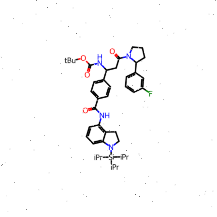 CC(C)[Si](C(C)C)(C(C)C)N1CCc2c(NC(=O)c3ccc(C(CC(=O)N4CCCC4c4cccc(F)c4)NC(=O)OC(C)(C)C)cc3)cccc21